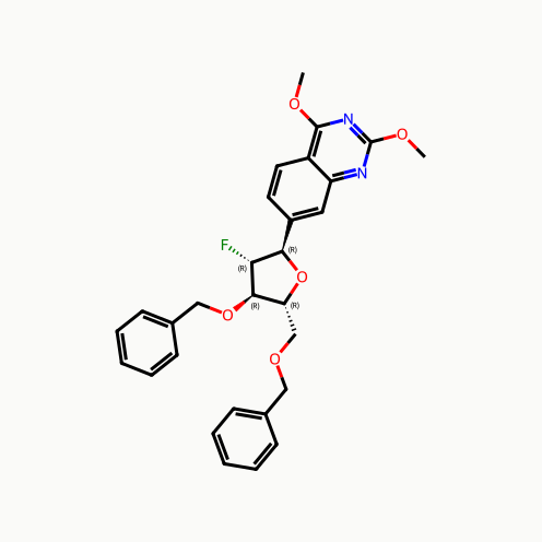 COc1nc(OC)c2ccc([C@H]3O[C@H](COCc4ccccc4)[C@@H](OCc4ccccc4)[C@@H]3F)cc2n1